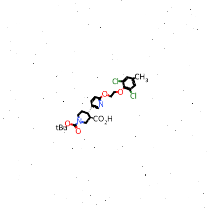 Cc1cc(Cl)c(OCCOc2ccc([C@H]3CCN(C(=O)OC(C)(C)C)C[C@@H]3C(=O)O)cn2)c(Cl)c1